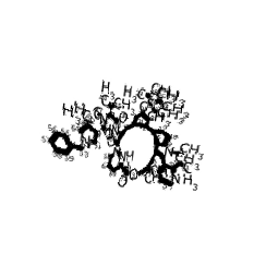 CCn1c(-c2cccnc2C(C)C)c2c3cc(ccc31)-c1cc(cc(O[Si](C(C)C)(C(C)C)C(C)C)c1)C[C@H](NC(=O)[C@H](C(C)C)N(C)C(=O)[C@@H]1CN(Cc3ccccc3)C[C@@H]1C)C(=O)N1CCC[C@H](N1)C(=O)OCC(C)(C)C2